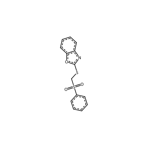 O=S(=O)(CSc1nc2ccccc2o1)c1ccccc1